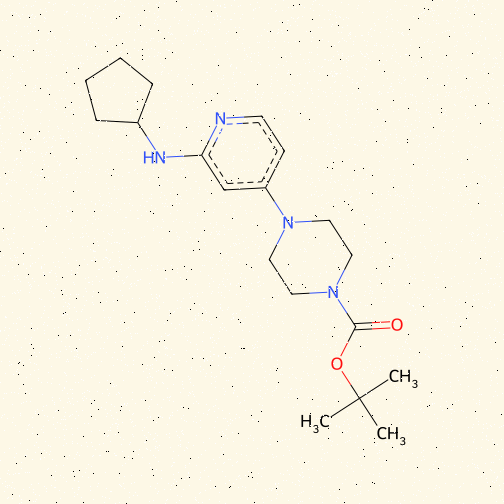 CC(C)(C)OC(=O)N1CCN(c2ccnc(NC3CCCC3)c2)CC1